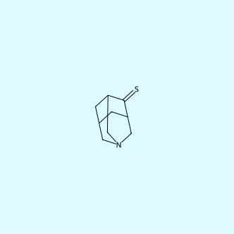 S=C1C2CC3CC1CN(C3)C2